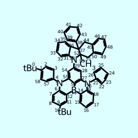 CC(C)(C)c1ccc(N2c3ccc(C(C)(C)C)cc3B3c4ccccc4N(c4ccccc4)c4cc(N5c6ccccc6C6(c7ccccc7)Cc7ccccc7CC56C)cc2c43)cc1